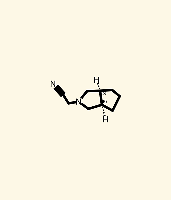 N#CCN1C[C@H]2CCC[C@H]2C1